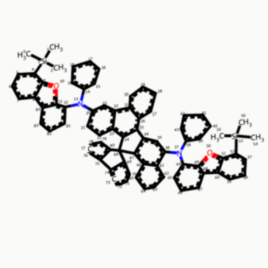 C[Si](C)(C)c1cccc2c1oc1c(N(c3ccccc3)c3ccc4c5c(c6ccccc6c4c3)-c3cc(N(c4ccccc4)c4cccc6c4oc4c([Si](C)(C)C)cccc46)c4ccccc4c3C53c4ccccc4-c4ccccc43)cccc12